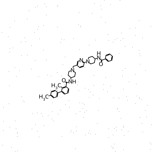 Cc1ccc(-c2cccc(C(=O)NC3CCN(Cc4ccc(N5CCC(NC(=O)c6ccccc6)CC5)nc4)CC3)c2C)cc1